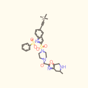 CC1Cc2nc(C(=O)N3CCN(S(=O)(=O)c4cc5cc(C#C[Si](C)(C)C)ccc5n4S(=O)(=O)c4ccccc4)CC3)oc2CN1